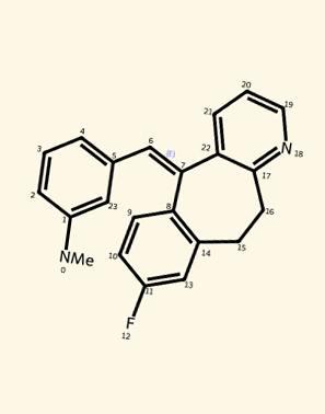 CNc1cccc(/C=C2\c3ccc(F)cc3CCc3ncccc32)c1